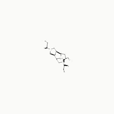 O=C(CCl)N1C=C2C(=C3CCN(C(=O)CCl)CC2N3C(=O)CCl)C1